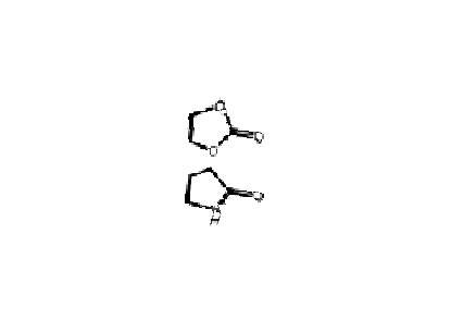 O=C1CCCN1.O=C1OCCO1